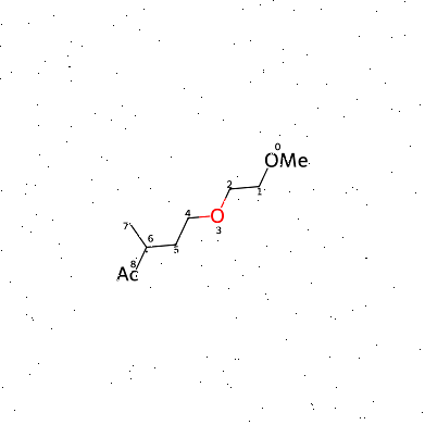 COCCOCC[C](C)C(C)=O